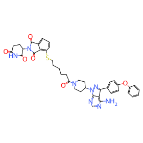 Nc1ncnc2c1c(-c1ccc(Oc3ccccc3)cc1)nn2C1CCN(C(=O)CCCCCSc2cccc3c2C(=O)N(C2CCC(=O)NC2=O)C3=O)CC1